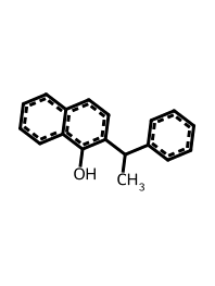 CC(c1ccccc1)c1ccc2ccccc2c1O